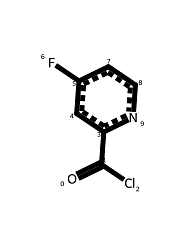 O=C(Cl)c1cc(F)ccn1